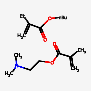 C=C(C)C(=O)OCCN(C)C.C=C(CC)C(=O)OCCCC